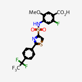 COc1cc(C(=O)O)c(F)cc1NS(=O)(=O)c1csc(-c2ccc(C(F)(F)C(F)(F)F)cc2)n1